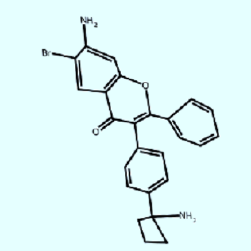 Nc1cc2oc(-c3ccccc3)c(-c3ccc(C4(N)CCC4)cc3)c(=O)c2cc1Br